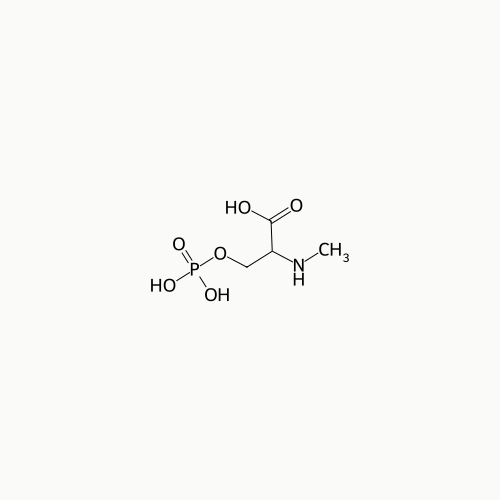 CNC(COP(=O)(O)O)C(=O)O